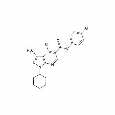 Cc1nn(C2CCCCC2)c2ncc(C(=O)Nc3ccc(Cl)cc3)c(Cl)c12